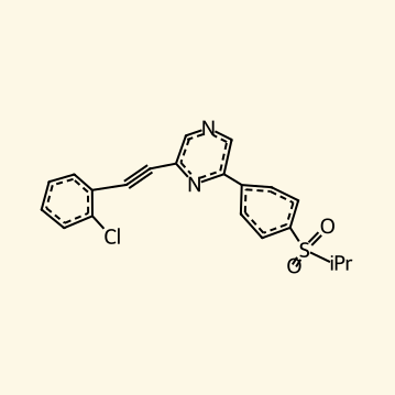 CC(C)S(=O)(=O)c1ccc(-c2cncc(C#Cc3ccccc3Cl)n2)cc1